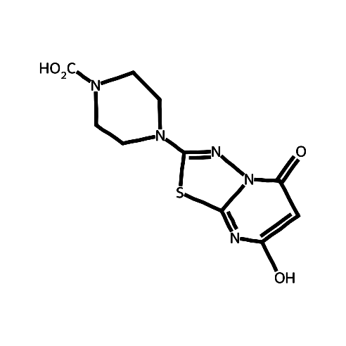 O=C(O)N1CCN(c2nn3c(=O)cc(O)nc3s2)CC1